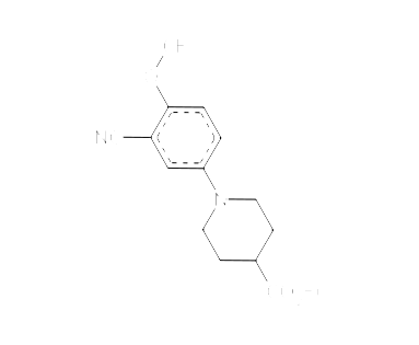 CCOC(=O)C1CCN(c2ccc(OC(F)(F)F)c(C#N)c2)CC1